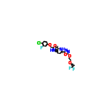 O=C(COc1ccc(Cl)c(F)c1)N[Si@H]1CC[C@H](c2nnc(OCCO[C@@H]3CC3(F)F)o2)NC1